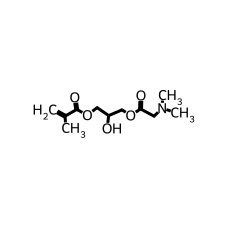 C=C(C)C(=O)OCC(O)COC(=O)CN(C)C